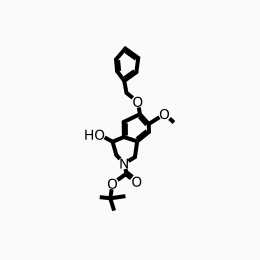 COc1cc2c(cc1OCc1ccccc1)C(O)CN(C(=O)OC(C)(C)C)C2